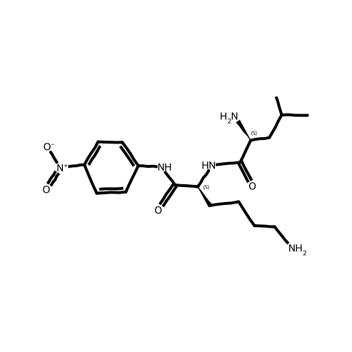 CC(C)C[C@H](N)C(=O)N[C@@H](CCCCN)C(=O)Nc1ccc([N+](=O)[O-])cc1